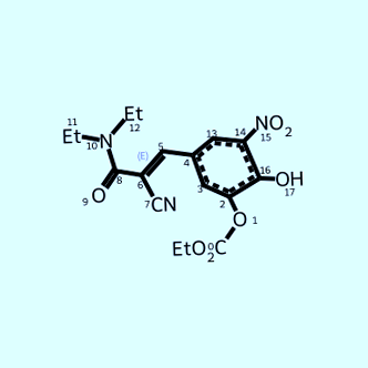 CCOC(=O)Oc1cc(/C=C(\C#N)C(=O)N(CC)CC)cc([N+](=O)[O-])c1O